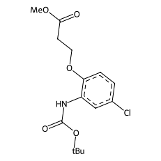 COC(=O)CCOc1ccc(Cl)cc1NC(=O)OC(C)(C)C